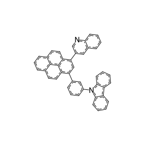 c1cc(-c2cc(-c3cnc4ccccc4c3)c3ccc4cccc5ccc2c3c54)cc(-n2c3ccccc3c3ccccc32)c1